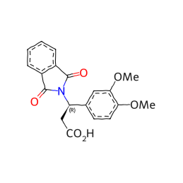 COc1ccc([C@@H](CC(=O)O)N2C(=O)c3ccccc3C2=O)cc1OC